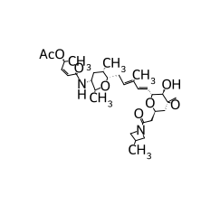 CC(=O)O[C@@H](C)/C=C\C(=O)N[C@@H]1C[C@H](C)[C@H](C/C=C(C)/C=C/[C@H]2O[C@H](CC(=O)N3CC(C)C3)C[C@@]3(CO3)[C@@H]2O)O[C@@H]1C